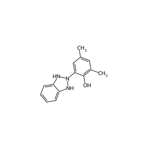 Cc1cc(C)c(O)c(N2Nc3ccccc3N2)c1